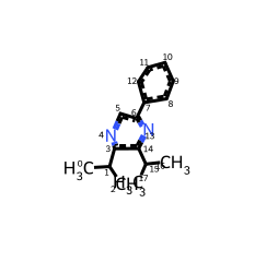 CC(C)c1ncc(-c2ccccc2)nc1C(C)C